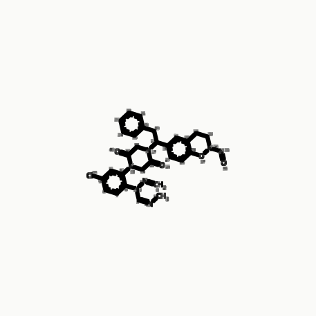 C=NN(/C=N\C)c1ccc(Cl)cc1N1CC(=O)N(C(Cc2ccccc2)c2ccc3c(c2)CCN(N=O)O3)CC1=O